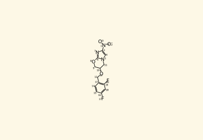 O=[N+]([O-])c1cn2c(n1)OC[C@H](OCc1ccc(F)cc1F)C2